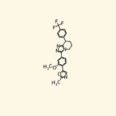 COc1cc(-c2nnc3n2CCCC3c2ccc(C(F)(F)F)cc2)ccc1-c1cnc(C)o1